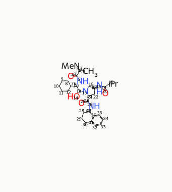 CN[C@@H](C)C(=O)N[C@@H](C1CCCCC1)C(O)N1C[C@@H](NC(=O)C(C)C)C[C@H]1C(=O)N[C@@H]1CCCc2ccccc21